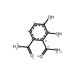 NC(=O)c1ccc(O)c(O)c1C(N)=O